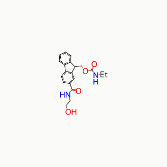 CCNC(=O)OCC1c2ccccc2-c2ccc(C(=O)NCCO)cc21